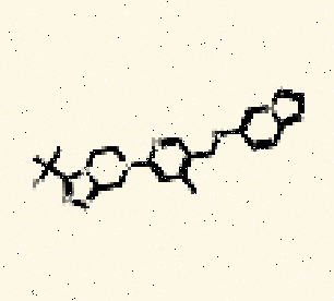 Cc1cc(N2CCn3c(nnc3C(F)(F)F)C2)ncc1CNc1ccc2nccn2c1